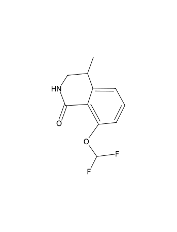 CC1CNC(=O)c2c(OC(F)F)cccc21